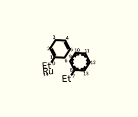 CCC1=CCC=CC1.CCc1ccccc1.[Ru]